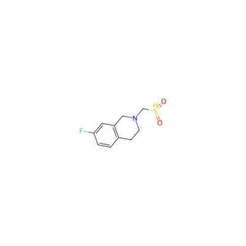 O=[SH](=O)CN1CCc2ccc(F)cc2C1